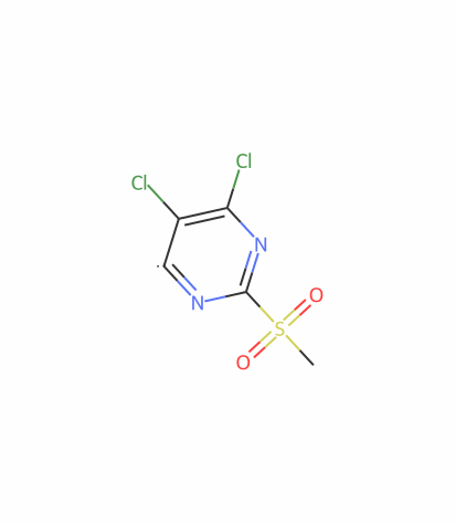 CS(=O)(=O)c1n[c]c(Cl)c(Cl)n1